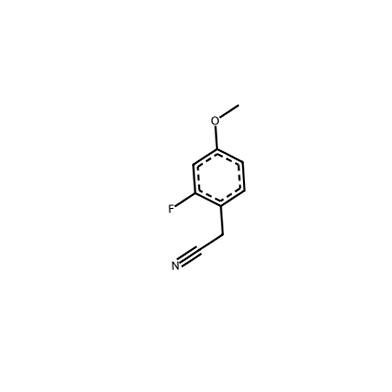 COc1ccc(CC#N)c(F)c1